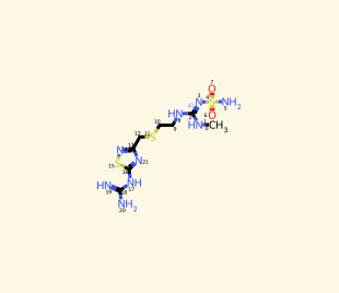 CN/C(=N\S(N)(=O)=O)NCCSCc1nsc(NC(=N)N)n1